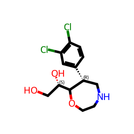 OC[C@H](O)C1OCCNC[C@H]1c1ccc(Cl)c(Cl)c1